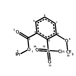 CC(C)OC(=O)c1cccc(OC(F)(F)F)c1S(=O)(=O)Cl